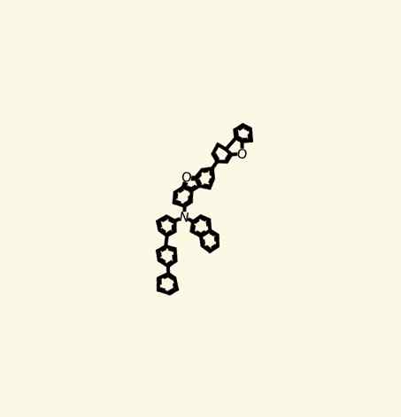 C1=C(c2ccc3c(c2)oc2ccc(N(c4cccc(-c5ccc(-c6ccccc6)cc5)c4)c4ccc5ccccc5c4)cc23)C=C2Oc3ccccc3C2C1